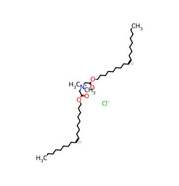 CCCCCCCC/C=C\CCCCCCCCOC(=O)C[N+](C)(C)CC(=O)OCCCCCCCC/C=C\CCCCCCCC.[Cl-]